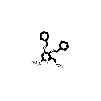 O=C(O)c1cc(OCc2ccccc2)c(OCc2ccccc2)c(C=NO)n1